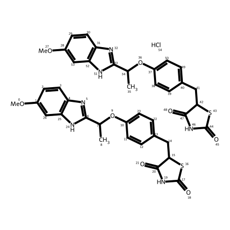 COc1ccc2nc(C(C)Oc3ccc(CC4SC(=O)NC4=O)cc3)[nH]c2c1.COc1ccc2nc(C(C)Oc3ccc(CC4SC(=O)NC4=O)cc3)[nH]c2c1.Cl